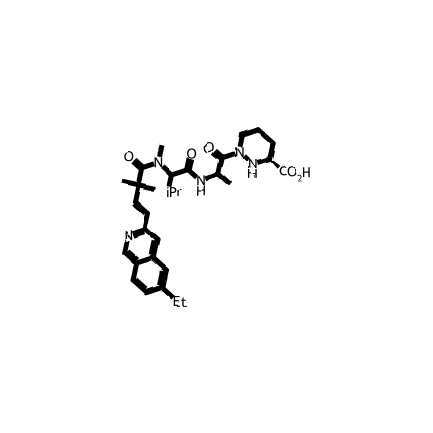 CCc1ccc2cnc(/C=C/C(C)(C)C(=O)N(C)C(C(=O)NC(C)C(=O)N3CCC[C@@H](C(=O)O)N3)C(C)C)cc2c1